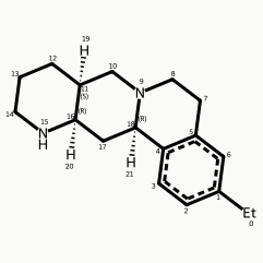 CCc1ccc2c(c1)CCN1C[C@@H]3CCCN[C@@H]3C[C@H]21